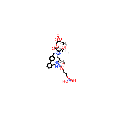 CCCc1nc(C(C)(C)O)c(C(=O)OCc2oc(=O)oc2C)n1Cc1ccc(-c2ccccc2-c2nnn(C(=O)OCCCCON(O)O)n2)cc1